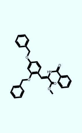 COC(=O)C(=Cc1ccc(OCc2ccccc2)cc1OCc1ccccc1)NC(=O)c1ccccc1